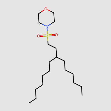 CCCCCCCC(CCCCCC)CCS(=O)(=O)N1CCOCC1